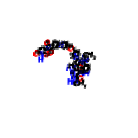 CNC(=O)c1nnc(NCCCN2CCC(COCC3CCN(c4ccc5c(c4)C(=O)N(C4CCC(=O)NC4=O)C5=O)CC3)CC2)cc1Nc1cccc(-c2ncn(C)n2)c1OC